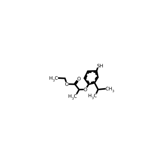 CCOC(=O)C(C)Oc1ccc(S)cc1C(C)C